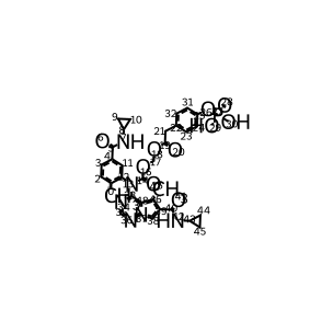 Cc1ccc(C(=O)NC2CC2)cc1N(C(=O)OCOC(=O)Cc1ccc(OP(=O)(O)O)cc1)c1ncnn2cc(C(=O)NC3CC3)c(C)c12